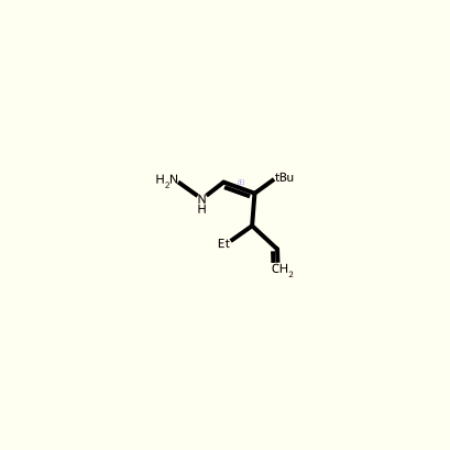 C=CC(CC)/C(=C\NN)C(C)(C)C